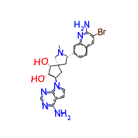 CN1C[C@@]2(C[C@@H](n3ccc4c(N)ncnc43)[C@H](O)[C@@H]2O)C[C@H]1c1ccc2cc(Br)c(N)nc2c1